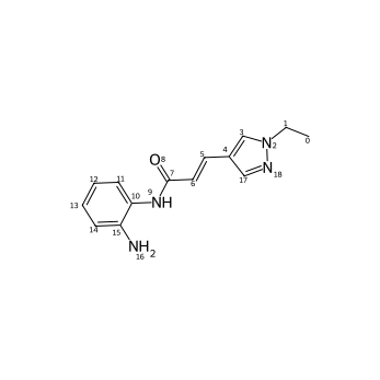 CCn1cc(/C=C/C(=O)Nc2ccccc2N)cn1